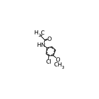 C=CC(=O)Nc1ccc(OC)c(Cl)c1